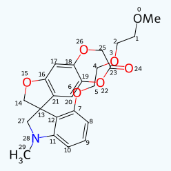 COCCOCCOc1cccc2c1C1(COc3cc4c(cc31)OC(=O)CO4)CN2C